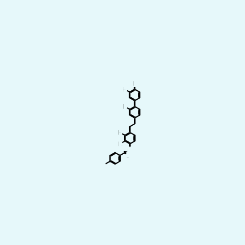 Cc1ccc(C(F)(F)Oc2ccc(CCc3ccc(-c4ccc(F)c(F)c4)c(F)c3)c(F)c2F)cc1